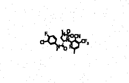 Cc1cc(C(F)(F)F)c(C#N)c(N2[C@H](C(=O)N(C)c3ccc(F)c(Cl)c3)CN(C)S2(=O)=O)n1